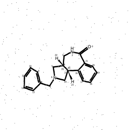 O=C1NC[C@H]2CN(Cc3ccccc3)C[C@H]2c2ccccc21